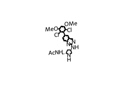 COc1cc(OC)c(Cl)c(-c2ccc3nc(N[C@@H]4CN[C@H](CNC(C)=O)C4)ncc3c2)c1Cl